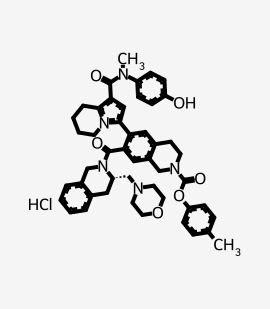 Cc1ccc(OC(=O)N2CCc3cc(-c4cc(C(=O)N(C)c5ccc(O)cc5)c5n4CCCC5)c(C(=O)N4Cc5ccccc5C[C@H]4CN4CCOCC4)cc3C2)cc1.Cl